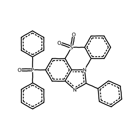 O=P(c1ccccc1)(c1ccccc1)c1cc2c3c(c1)nc(-c1ccccc1)n3-c1ccccc1S2(=O)=O